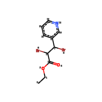 CCOC(=O)C(Br)C(Br)c1cccnc1